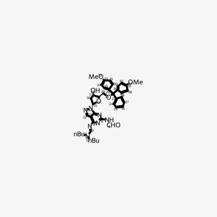 CCCCN(C=Nc1nc(NC=O)nc2c1cnn2[C@@H]1C[C@H](O)[C@@H](COC(c2ccccc2)(c2ccc(OC)cc2)c2ccc(OC)cc2)O1)CCCC